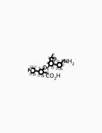 Cc1cc2cc(COc3cc(-c4ccncc4)ccc3CC(=O)O)cc(-c3cccc(CN)c3)c2o1